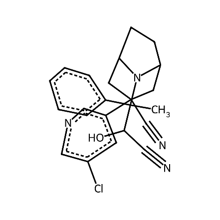 CC(c1ccccc1)(C(O)C#N)N1C2CCC1CC(C#N)(c1cncc(Cl)c1)C2